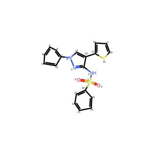 O=S(=O)(Nc1nn(-c2ccccc2)cc1-c1cccs1)c1ccccc1